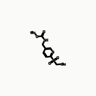 CC(C)(C)CS(=O)(=O)c1ccc(CNC(=O)OC(C)(C)C)cn1